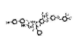 CC[C@@H](c1ccccc1)N1Cc2cc3c(cc2C[C@H]1C(=O)N[C@@H](Cc1ccc(-c2ccc(C#N)cc2)cc1)C(=O)O)N(CC)C(=O)[C@@H](c1ccc(OCc2ccc(Cl)c(Cl)c2)cc1)O3